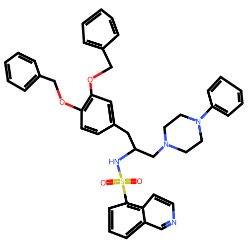 O=S(=O)(NC(Cc1ccc(OCc2ccccc2)c(OCc2ccccc2)c1)CN1CCN(c2ccccc2)CC1)c1cccc2cnccc12